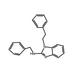 c1ccc(CCn2c(NCc3ccccc3)nc3ccccc32)cc1